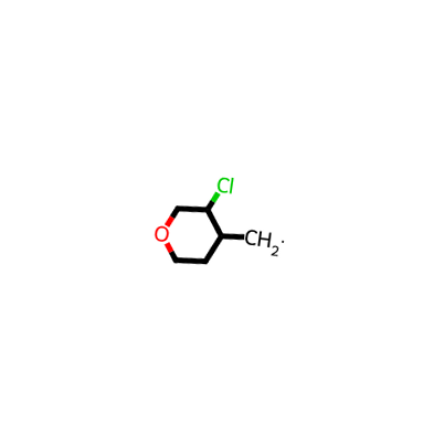 [CH2]C1CCOCC1Cl